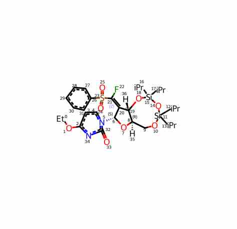 CCOc1ccn([C@H]2O[C@@H]3CO[Si](C(C)C)(C(C)C)O[Si](C(C)C)(C(C)C)O[C@H]3/C2=C(\F)S(=O)(=O)c2ccccc2)c(=O)n1